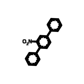 O=[N+]([O-])c1cc(-c2ccccc2)ccc1-c1ccccc1